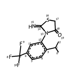 CC(C)c1ccc(C(F)(F)F)cc1N1C(=N)SCC1=O